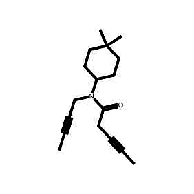 CC#CCC(=O)N(CC#CC)C1CCC(C)(C)CC1